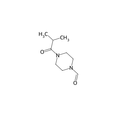 CC(C)C(=O)N1CCN(C=O)CC1